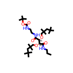 CCCNC(=O)[C@H](OCC(C)(C)CC(C)(C)C)[C@@H](OCC(C)(C)CC(C)(C)C)C(=O)NCCNC(=O)OC(C)(C)C